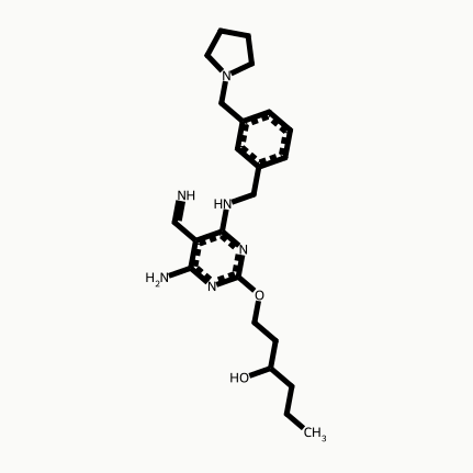 CCCC(O)CCOc1nc(N)c(C=N)c(NCc2cccc(CN3CCCC3)c2)n1